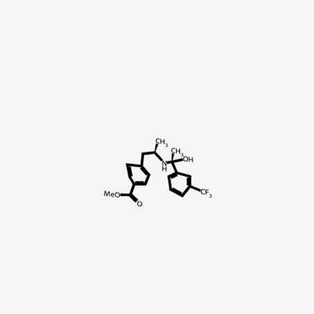 COC(=O)c1ccc(C[C@@H](C)N[C@](C)(O)c2cccc(C(F)(F)F)c2)cc1